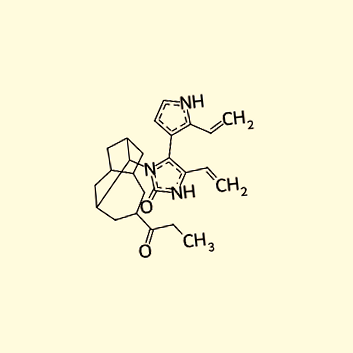 C=Cc1[nH]ccc1-c1c(C=C)[nH]c(=O)n1C1C2CC(C(=O)CC)CC3CC1CC3C2